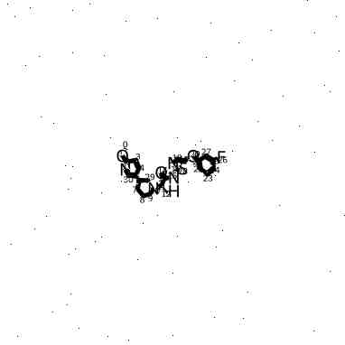 COc1ccc([C@@H]2CCCN([C@H](C)C(=O)Nc3ncc(Oc4cccc(F)c4)s3)C2)cn1